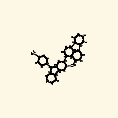 N#Cc1ccc(-n2c3ccccc3c3ccc(-c4ccc5c6c(ccc(Cl)c46)-c4ccccc4-5)cc32)cc1